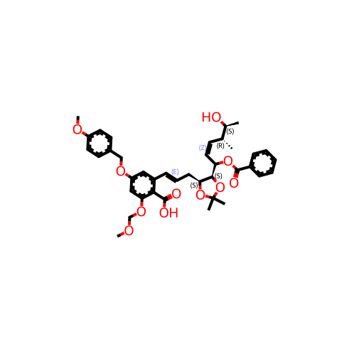 COCOc1cc(OCc2ccc(OC)cc2)cc(/C=C/C[C@@H]2OC(C)(C)O[C@@H]2C(/C=C\[C@@H](C)[C@H](C)O)OC(=O)c2ccccc2)c1C(=O)O